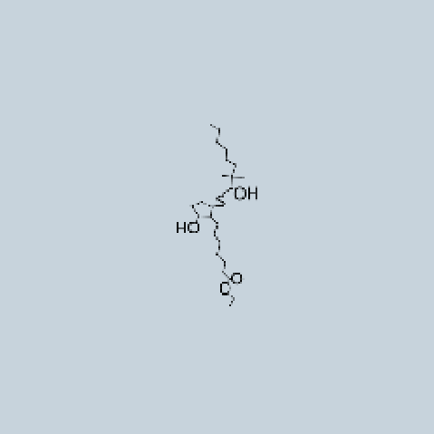 CCCCCCC(C)(C)C(O)CSC1CCC(O)C1CCCCCCC(=O)OCC